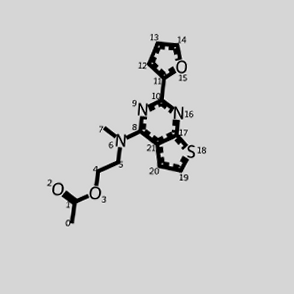 CC(=O)OCCN(C)c1nc(-c2ccco2)nc2sccc12